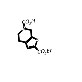 CCOC(=O)c1cc2c(s1)CN(C(=O)O)CC2